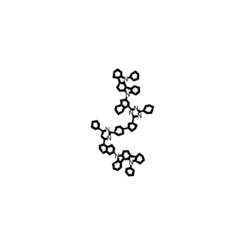 c1ccc(-c2cc(-c3cccc4cc(-n5c6ccccc6c6c5ccc5c7ccccc7n(-c7ccccc7)c56)ccc34)nc(-c3ccc(-c4cccc(-c5nc(-c6ccccc6)nc(-c6cc(-n7c8ccccc8c8c7ccc7c9ccccc9n(-c9ccccc9)c78)cc7ccccc67)n5)c4)cc3)n2)cc1